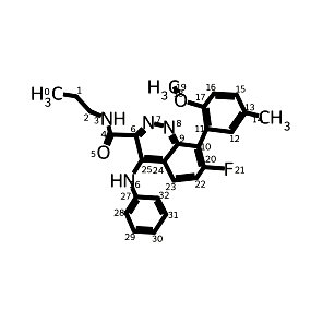 CCCNC(=O)c1nnc2c(-c3cc(C)ccc3OC)c(F)ccc2c1Nc1ccccc1